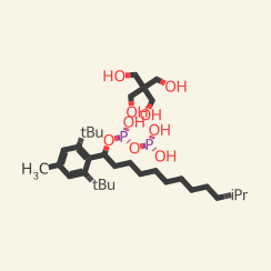 Cc1cc(C(C)(C)C)c(C(CCCCCCCCCC(C)C)OP(O)OP(O)O)c(C(C)(C)C)c1.OCC(CO)(CO)CO